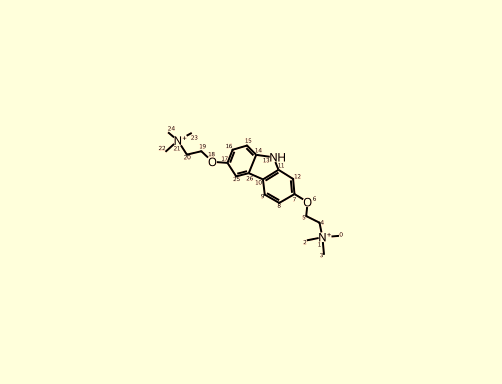 C[N+](C)(C)CCOc1ccc2c(c1)[nH]c1ccc(OCC[N+](C)(C)C)cc12